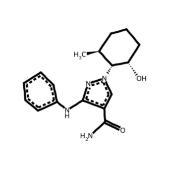 C[C@H]1CCC[C@H](O)[C@@H]1n1cc(C(N)=O)c(Nc2ccccc2)n1